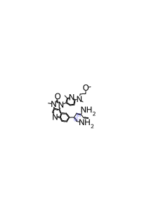 C=C/C(N)=C\C(=C/N)c1ccc2ncc3c(c2c1)n(-c1ccc(N(C)CCOC)nc1C)c(=O)n3C